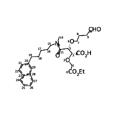 CCOC(=O)CO[C@@H](C(=O)O)[C@@H](OCCCC=O)C(=O)N(C)CCCCCc1ccc2ccccc2c1